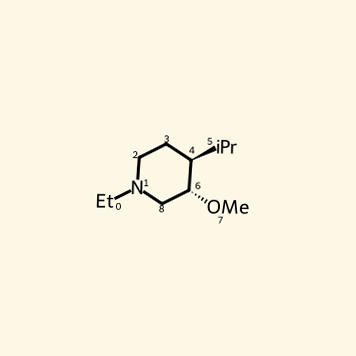 CCN1CC[C@@H](C(C)C)[C@H](OC)C1